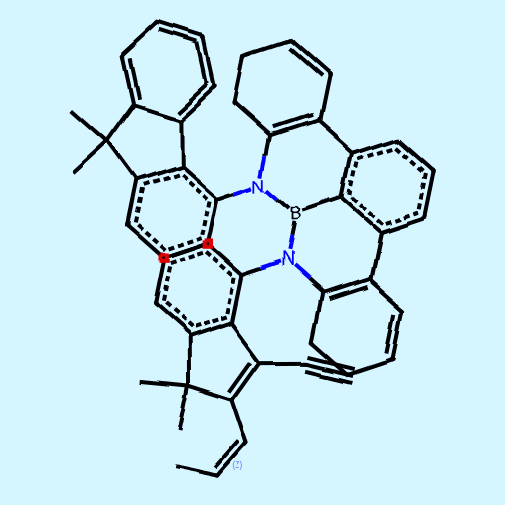 C#CC1=C(/C=C\C)C(C)(C)c2cccc(N3B4c5c(cccc5C5=C3CCC=C5)C3=C(CCC=C3)N4c3cccc4c3C3=C=C=CC=C3C4(C)C)c21